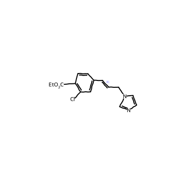 CCOC(=O)c1ccc(/C=C/Cn2ccnc2)cc1Cl